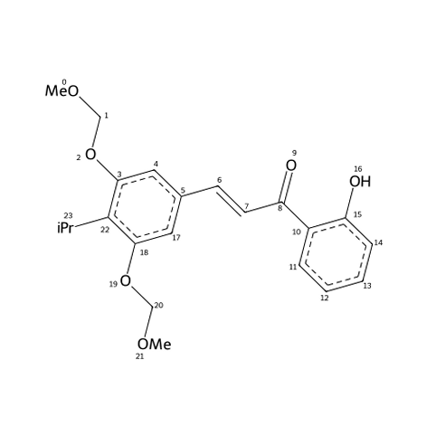 COCOc1cc(/C=C/C(=O)c2ccccc2O)cc(OCOC)c1C(C)C